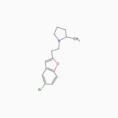 CC1CCCN1CCc1cc2cc(Br)ccc2o1